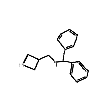 c1ccc(C(NCC2CNC2)c2ccccc2)cc1